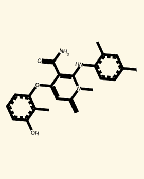 C=C1C=C(Oc2cccc(O)c2C)C(C(N)=O)=C(Nc2ccc(I)cc2C)N1C